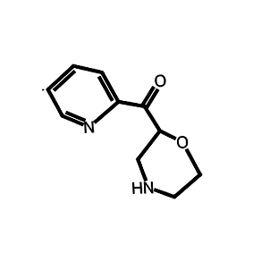 O=C(c1cc[c]cn1)C1CNCCO1